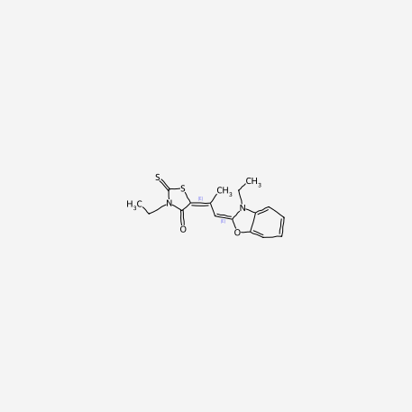 CCN1C(=O)/C(=C(C)\C=C2\Oc3ccccc3N2CC)SC1=S